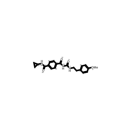 COc1ccc(CCNC(=O)NC(=O)c2ccc(C(=O)NC3CC3)cc2)cc1